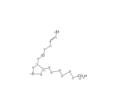 CCC=CCCOCC1CSCC1CCCCCCC(=O)O